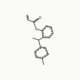 C=CC(=O)Oc1ccccc1C(C)c1ccc(C)cc1